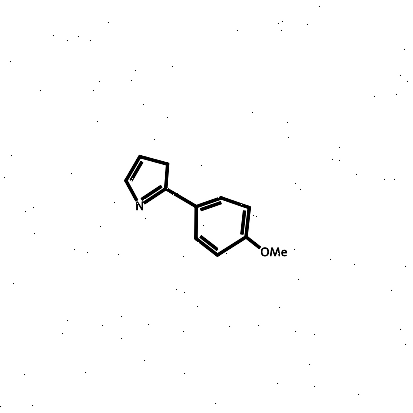 COc1ccc(C2=NC=CC2)cc1